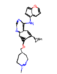 COc1cc2c(Nc3ccc4occcc3-4)ncnc2cc1OCC1CCN(C)CC1